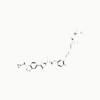 Cc1sc(NC(=O)Cc2ccc(F)c(OCCOCCNC(=O)OC(C)(C)C)c2)nc1-c1ccc2c(c1)CCN2C(=O)C1CC1